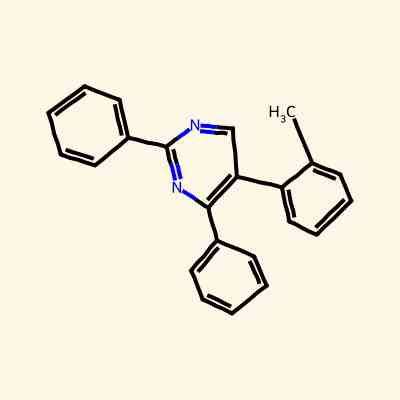 Cc1ccccc1-c1cnc(-c2ccccc2)nc1-c1ccccc1